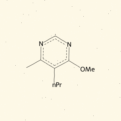 CCCc1c(C)n[c]nc1OC